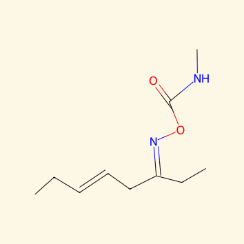 CCC=CCC(CC)=NOC(=O)NC